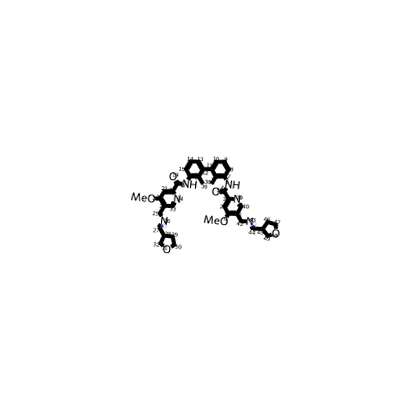 COc1cc(C(=O)Nc2cccc(-c3cccc(NC(=O)c4cc(OC)c(C/N=C/C5CCOC5)cn4)c3C)c2C)ncc1C/N=C/C1CCOC1